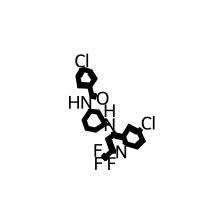 O=C(N[C@@H]1CCC[C@H](Nc2cc(C(F)(F)F)nc3ccc(Cl)cc23)C1)c1ccc(Cl)cc1